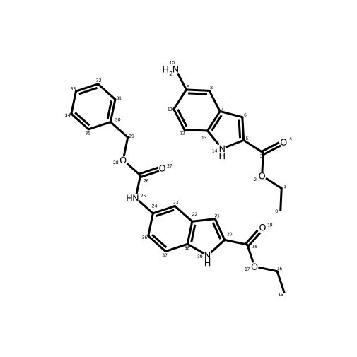 CCOC(=O)c1cc2cc(N)ccc2[nH]1.CCOC(=O)c1cc2cc(NC(=O)OCc3ccccc3)ccc2[nH]1